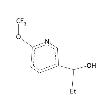 CCC(O)c1ccc(OC(F)(F)F)nc1